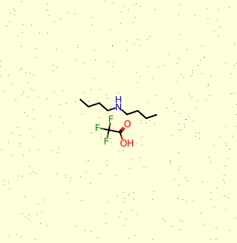 CCCCNCCCC.O=C(O)C(F)(F)F